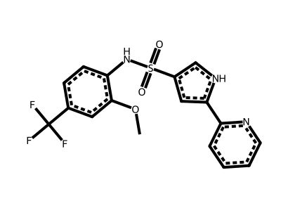 COc1cc(C(F)(F)F)ccc1NS(=O)(=O)c1c[nH]c(-c2ccccn2)c1